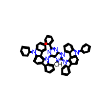 Cn1c(-n2c3ccccc3c3ccc4c(c5ccccc5n4-c4ccccc4)c32)nc2nc(-c3ccccc3)nc(-n3c4ccccc4c4ccc5c(c6ccccc6n5C5C=CC=CC5)c43)c21